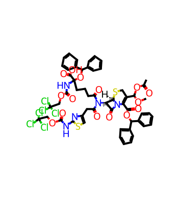 COC(OC(C)=O)C1=C(C(=O)OC(c2ccccc2)c2ccccc2)N2C(=O)[C@@H](N(C(=O)CCCC(NC(=O)OCC(Cl)(Cl)Cl)(OC(c3ccccc3)c3ccccc3)C(=O)O)C(=O)Cc3csc(NC(=O)OCC(Cl)(Cl)Cl)n3)[C@H]2SC1